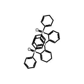 O=P(C1=CCCC=C1Oc1ccccc1P(=O)(C1=CCCC=C1)c1ccccc1)(c1ccccc1)c1ccccc1